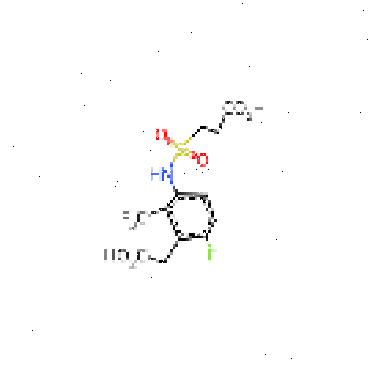 O=C(O)CCS(=O)(=O)Nc1ccc(F)c(CC(=O)O)c1C(F)(F)F